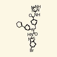 O=C(Nc1nn[nH]n1)c1ccc(CN(C(=O)Nc2nc3cc(Br)ccc3s2)c2ccc(C3=CCCCC3)cc2)cc1